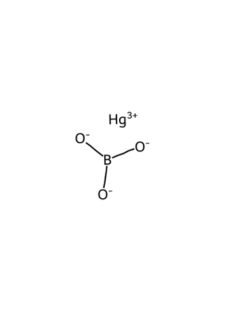 [Hg+3].[O-]B([O-])[O-]